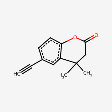 C#Cc1ccc2c(c1)C(C)(C)CC(=O)O2